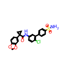 NS(=O)(=O)c1ccc(-c2cc(NC(=O)C3(c4ccc5c(c4)OCO5)CC3)ccc2Cl)cc1